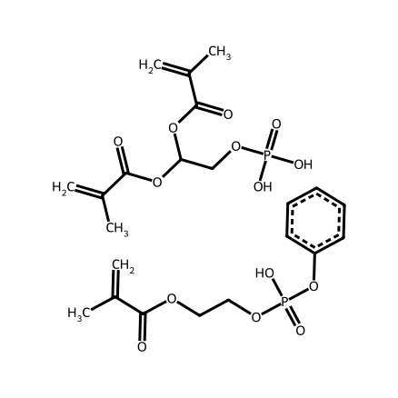 C=C(C)C(=O)OC(COP(=O)(O)O)OC(=O)C(=C)C.C=C(C)C(=O)OCCOP(=O)(O)Oc1ccccc1